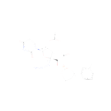 CC(=O)O[C@H]1[C@H](n2ccc(=O)[nH]c2=O)O[C@@](CO[P@@]2(=O)OCC[C@@H](c3cccc(Cl)c3)O2)(N=[N+]=[N-])[C@H]1OC(C)=O